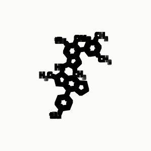 COc1c(C(C)(C)C)cc2c(c1-c1cc(C)cc(C)c1)C=C(C)C2NC1C(C)=Cc2c1cc1c(c2-c2ccc(C(C)(C)C)cc2)CCC1